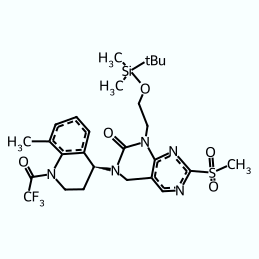 Cc1cccc2c1N(C(=O)C(F)(F)F)CC[C@@H]2N1Cc2cnc(S(C)(=O)=O)nc2N(CCO[Si](C)(C)C(C)(C)C)C1=O